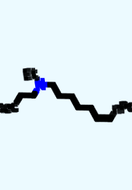 CCCCC/C=C\CCCCCN(CC)CCCCCCCCCCCC